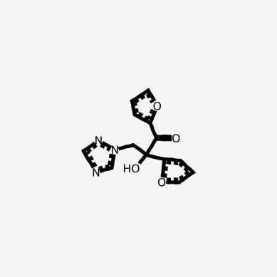 O=C(c1ccco1)C(O)(Cn1cncn1)c1ccco1